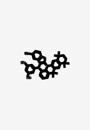 CC(C)(C)c1cc(N2c3cccc4c3B(c3cc5c(cc3C4(C)C)C(C)(C)CCC5(C)C)c3sc4ccc(C(C)(C)C)cc4c32)cc(C(C)(C)C)c1